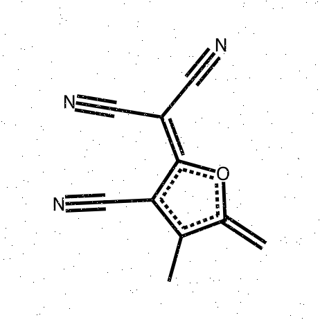 C=c1oc(=C(C#N)C#N)c(C#N)c1C